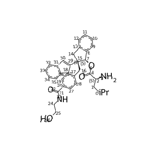 CC(C)C[C@H](N)C(=O)O[C@@H]1c2ccccc2C[C@@]1(Cc1ccc(C(=O)NCCO)cc1)C1=Cc2ccccc2C1